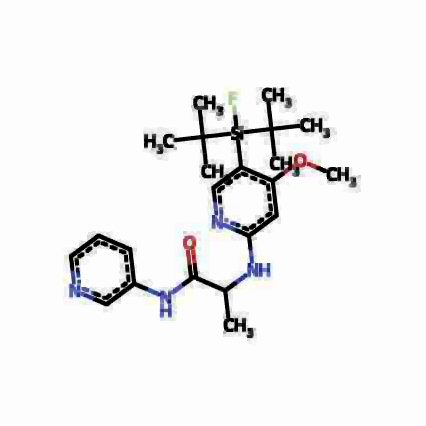 COc1cc(NC(C)C(=O)Nc2cccnc2)ncc1[Si](F)(C(C)(C)C)C(C)(C)C